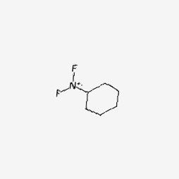 F[N+](F)C1CCCCC1